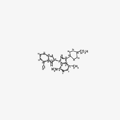 Cc1cnc(N)c2c(-c3cc4cccc(Cl)c4[nH]3)nc(C3CCC(C(=O)O)CC3)n12